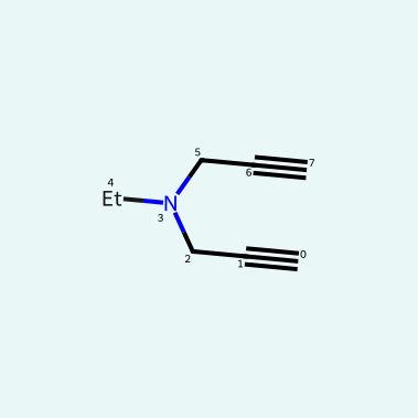 C#CCN(C[CH2])CC#C